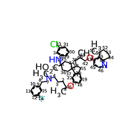 CC(CCCN(C)CCc1cccc(F)c1)Oc1ccc2c(c1)C1(CCC(Nc3cccc(Cl)c3)(C(=O)O)CC1)[C@@H](C[C@@H](C)COc1ccnc3c1[C@H](C)CCC3)C2